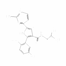 Cc1ccc(Cl)cc1-c1[nH]c(-c2ccnc(N)n2)cc1C(=O)NCC(C)C